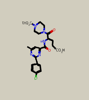 CCOC(=O)N1CCN(C(=O)C(CCC(=O)O)NC(=O)c2cc(C)nc(-c3ccc(Cl)cc3)n2)CC1